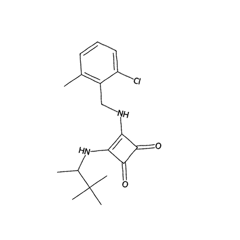 Cc1cccc(Cl)c1CNc1c(NC(C)C(C)(C)C)c(=O)c1=O